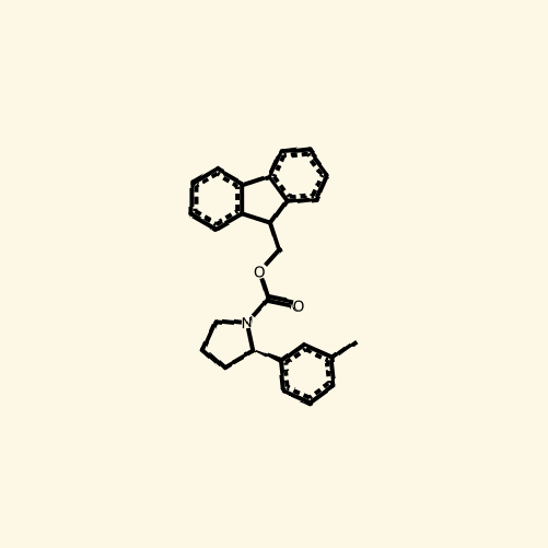 Cc1cccc([C@H]2CCCN2C(=O)OCC2c3ccccc3-c3ccccc32)c1